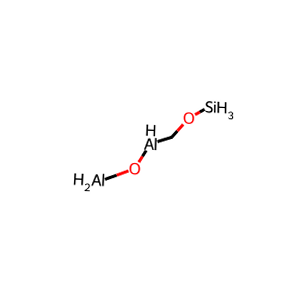 [AlH2][O][AlH][CH2]O[SiH3]